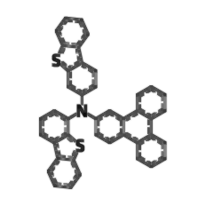 c1ccc2c(c1)sc1cc(N(c3ccc4c5ccccc5c5ccccc5c4c3)c3cccc4c3sc3ccccc34)ccc12